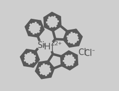 [Cl-].[Cl-].c1ccc([Si](c2ccccc2)=[Hf+2]([CH]2c3ccccc3-c3ccccc32)[CH]2c3ccccc3-c3ccccc32)cc1